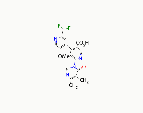 COc1cnc(C(F)F)cc1-c1cc(-n2cnc(C)c(C)c2=O)ncc1C(=O)O